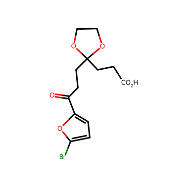 O=C(O)CCC1(CCC(=O)c2ccc(Br)o2)OCCO1